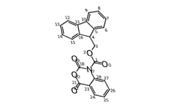 O=C(OCC1c2ccccc2-c2ccccc21)n1c(=O)oc(=O)c2ccccc21